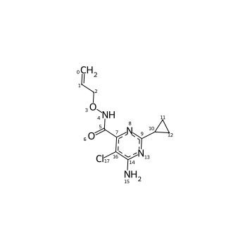 C=CCONC(=O)c1nc(C2CC2)nc(N)c1Cl